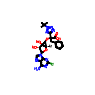 CC(C)(C)n1nnc(C(Cc2ccccc2)(OC2[C@H]3O[C@@H](n4cnc5c(N)nc(Cl)nc54)[C@H](O)[C@]23O)C(=O)O)n1